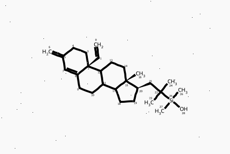 C=C[C@]12CCC(=C)C=C1CCC1C2CC[C@@]2(C)C1CC[C@@H]2CC(C)(C)[Si](C)(C)O